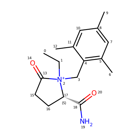 CC[N+]1(Cc2c(C)cc(C)cc2C)C(=O)CC[C@H]1C(N)=O